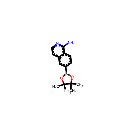 CC1(C)OB(c2ccc3c(N)nccc3c2)OC1(C)C